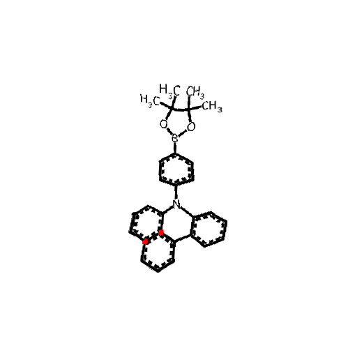 CC1(C)OB(c2ccc(N(c3ccccc3)c3ccccc3-c3ccccc3)cc2)OC1(C)C